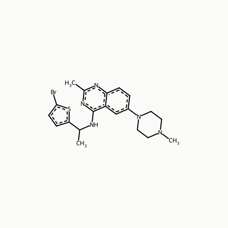 Cc1nc(NC(C)c2ccc(Br)s2)c2cc(N3CCN(C)CC3)ccc2n1